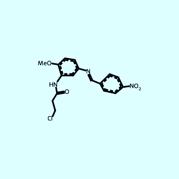 COc1ccc(N=Cc2ccc([N+](=O)[O-])cc2)cc1NC(=O)CCCl